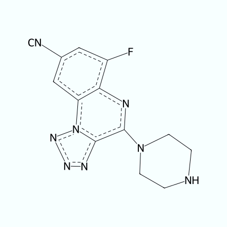 [C-]#[N+]c1cc(F)c2nc(N3CCNCC3)c3nnnn3c2c1